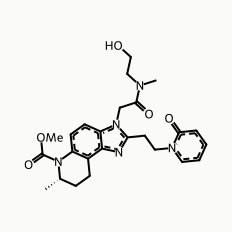 COC(=O)N1c2ccc3c(nc(CCn4ccccc4=O)n3CC(=O)N(C)CCO)c2CC[C@@H]1C